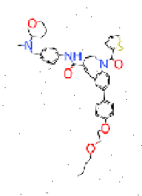 CCCCOCCOc1ccc(-c2ccc3c(c2)C=C(C(=O)Nc2ccc(CN(C)C4CCCOC4)cc2)CCN3C(=O)c2cccs2)cc1